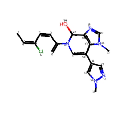 C=C(/C=C\C(Cl)=C/C)N1C=C(c2cnn(C)c2)c2c(ncn2C)C1O